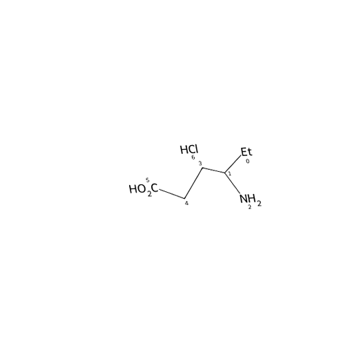 CCC(N)CCC(=O)O.Cl